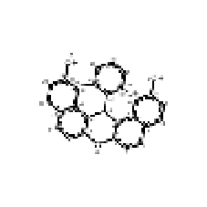 Oc1ccc2ccc3c(c2c1)C(c1c(O)cccc1O)c1c(ccc2ccc(O)cc12)O3